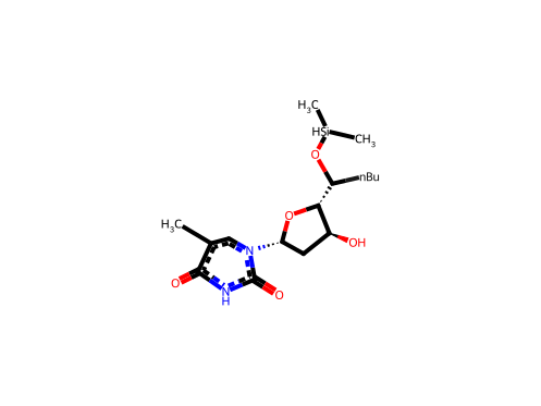 CCCCC(O[SiH](C)C)[C@H]1O[C@@H](n2cc(C)c(=O)[nH]c2=O)C[C@@H]1O